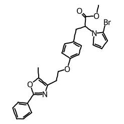 COC(=O)C(Cc1ccc(OCCc2nc(-c3ccccc3)oc2C)cc1)n1cccc1Br